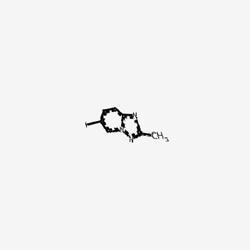 Cc1nc2ccc(I)cn2n1